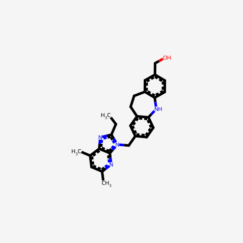 CCc1nc2c(C)cc(C)nc2n1Cc1ccc2c(c1)CCc1cc(CO)ccc1N2